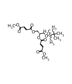 COC(=O)/C=C/C(=O)OC[C@@H](CO[Si](C)(C)C(C)(C)C)OC(=O)/C=C/C(=O)OC